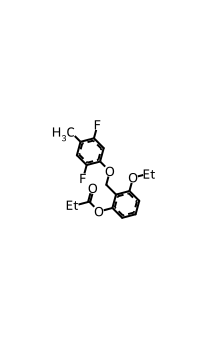 CCOc1cccc(OC(=O)CC)c1COc1cc(F)c(C)cc1F